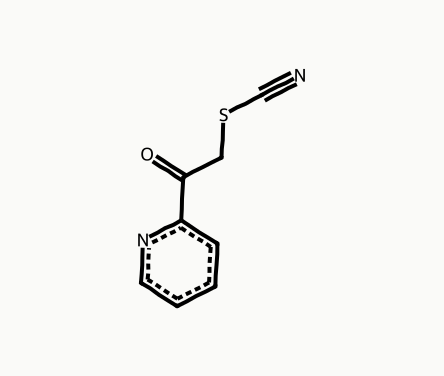 N#CSCC(=O)c1ccccn1